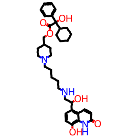 O=C(OCC1CCN(CCCCCNCC(O)c2ccc(O)c3[nH]c(=O)ccc23)CC1)C(O)(c1ccccc1)C1CCCCC1